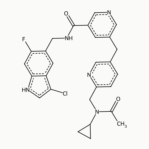 CC(=O)N(Cc1ccc(Cc2cncc(C(=O)NCc3cc4c(Cl)c[nH]c4cc3F)c2)cn1)C1CC1